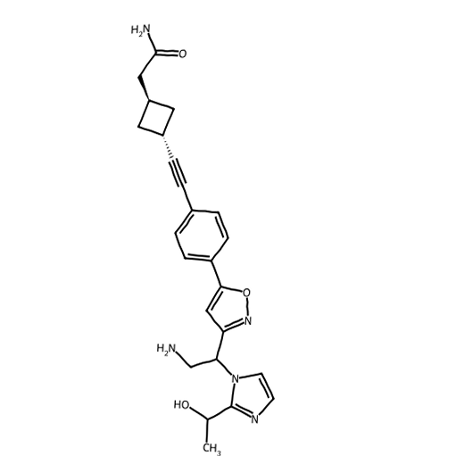 CC(O)c1nccn1C(CN)c1cc(-c2ccc(C#C[C@H]3C[C@H](CC(N)=O)C3)cc2)on1